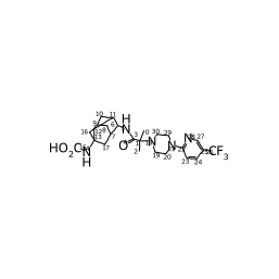 CC(C)(C(=O)NC1C2CC3CC1CC(NC(=O)O)(C3)C2)N1CCN(c2ccc(C(F)(F)F)cn2)CC1